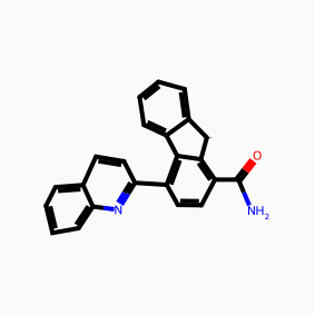 NC(=O)c1ccc(-c2ccc3ccccc3n2)c2c1[CH]c1ccccc1-2